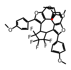 COc1ccc(-c2oc3ccc(OC)cc3c2C2C(c3c(-c4ccc(OC)cc4)oc4ccc(OC)cc34)C(F)(F)C(F)(F)C2(F)F)cc1